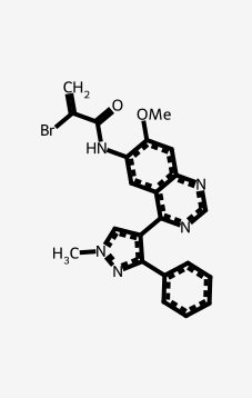 C=C(Br)C(=O)Nc1cc2c(-c3cn(C)nc3-c3ccccc3)ncnc2cc1OC